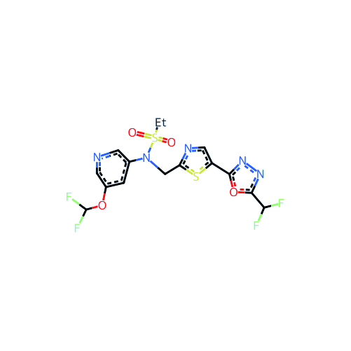 CCS(=O)(=O)N(Cc1ncc(-c2nnc(C(F)F)o2)s1)c1cncc(OC(F)F)c1